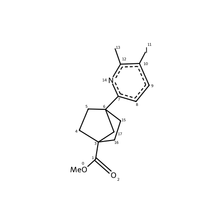 COC(=O)C12CCC(c3ccc(I)c(C)n3)(CC1)C2